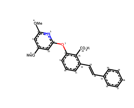 COc1cc(OC)nc(Oc2cccc(C=Cc3ccccc3)c2C(=O)O)c1